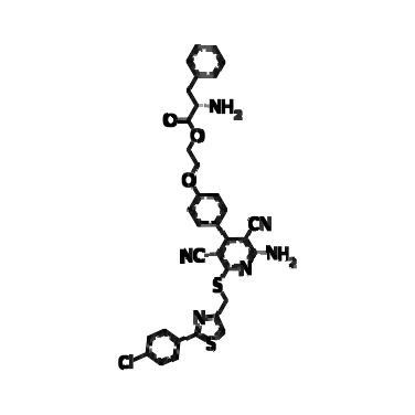 N#Cc1c(N)nc(SCc2csc(-c3ccc(Cl)cc3)n2)c(C#N)c1-c1ccc(OCCOC(=O)[C@@H](N)Cc2ccccc2)cc1